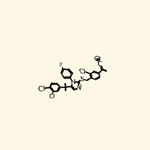 CC(=C=O)c1ccc(CSc2ncc(C(C)(C)c3ccc(Cl)c(Cl)c3)n2-c2ccc(F)cc2)c(Cl)c1